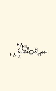 CNC1=C(C(=N)Nc2ccc(N/C=N\C=N)cc2)CN(C(C)=O)CC1